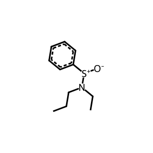 CCCN(CC)[S+]([O-])c1ccccc1